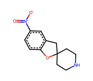 O=[N+]([O-])c1ccc2c(c1)CC1(CCNCC1)O2